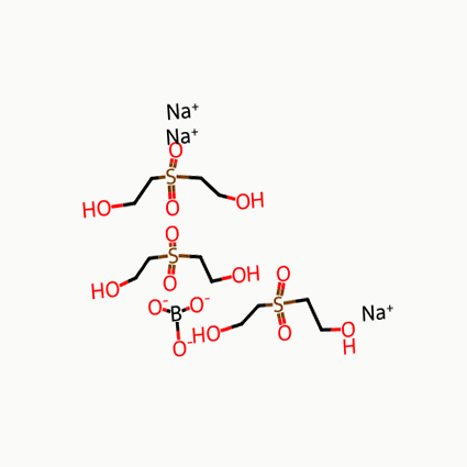 O=S(=O)(CCO)CCO.O=S(=O)(CCO)CCO.O=S(=O)(CCO)CCO.[Na+].[Na+].[Na+].[O-]B([O-])[O-]